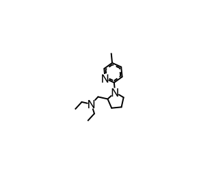 CCN(CC)CC1CCCN1c1ccc(C)cn1